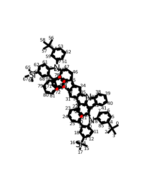 CC(C)(C)c1cccc(N(c2ccc([Si](C)(C)C)cc2-c2ccccc2)c2ccc3c4cc5c(cc4n4c6ccccc6c2c34)c2ccc(N(c3cccc(C(C)(C)C)c3)c3ccc([Si](C)(C)C)cc3-c3ccccc3)c3c4ccccc4n5c23)c1